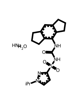 CC(C)n1ccc(S(=O)(=O)NC(=O)Nc2c3c(cc4c2CCC4)CCC3)n1.O.[NaH]